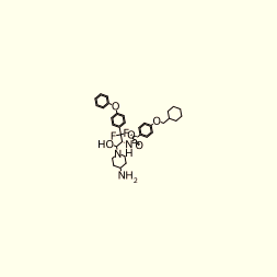 NC1CCN(C(O)[C@@H](NS(=O)(=O)c2ccc(OCC3CCCCC3)cc2)C(F)(F)c2ccc(Oc3ccccc3)cc2)CC1